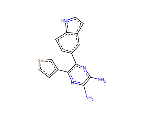 Nc1nc(-c2ccsc2)c(-c2ccc3[nH]ccc3c2)nc1N